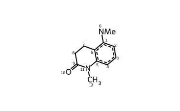 CNc1cccc2c1CCC(=O)N2C